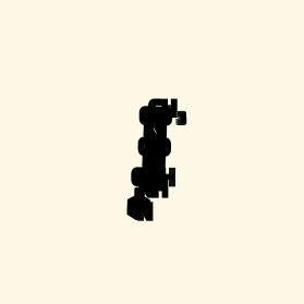 CS(=O)(=O)N1CCN(S(=O)(=O)c2ccc(NC(=O)NCc3cccnc3)cc2)CC1